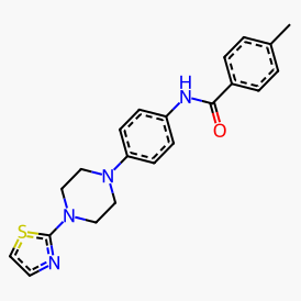 Cc1ccc(C(=O)Nc2ccc(N3CCN(c4nccs4)CC3)cc2)cc1